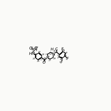 CC(c1cc(F)c(F)cc1F)N1CCN(C(=O)c2ccc(N[SH](=O)=O)cc2)CC1